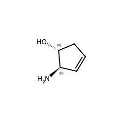 N[C@@H]1C=CC[C@H]1O